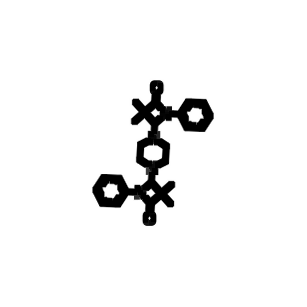 CC1(C)C(=O)N(c2ccccc2)C1N1CCN(C2N(c3ccccc3)C(=O)C2(C)C)CC1